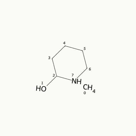 C.OC1CCCCN1